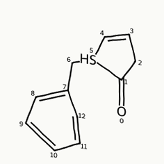 O=C1CC=C[SH]1Cc1ccccc1